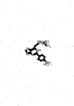 Cl.Cl.Cl.NCCc1[nH]c(C2CCC(N)CC2)nc2ncnc1-2.NN